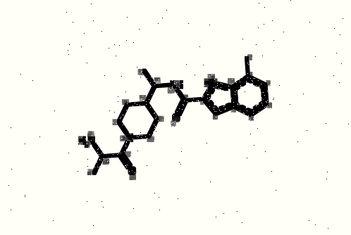 Cc1cccc2cc(C(=O)NC(C)C3CCN(C(=O)C(C)N)CC3)[nH]c12